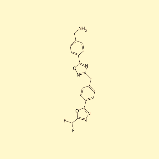 NCc1ccc(-c2nc(Cc3ccc(-c4nnc(C(F)F)o4)cc3)no2)cc1